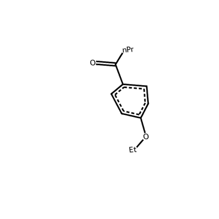 [CH2]CCC(=O)c1ccc(OCC)cc1